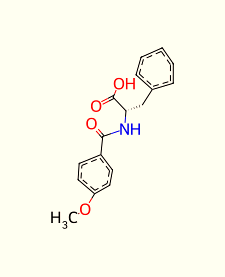 COc1ccc(C(=O)N[C@@H](Cc2ccccc2)C(=O)O)cc1